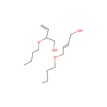 C=CC(CO)OCCCC.CCCCOC/C=C/CO